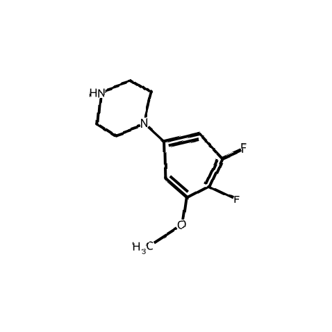 COc1cc(N2CCNCC2)cc(F)c1F